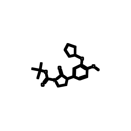 COc1ccc(C2CCN(C(=O)OC(C)(C)C)C2=O)cc1OC1CCCC1